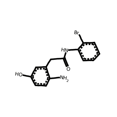 Nc1ccc(O)cc1CC(=O)Nc1ccccc1Br